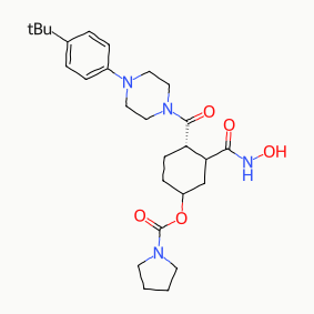 CC(C)(C)c1ccc(N2CCN(C(=O)[C@H]3CCC(OC(=O)N4CCCC4)CC3C(=O)NO)CC2)cc1